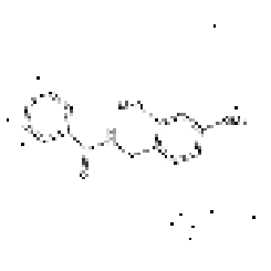 COc1ccc(CNC(=O)c2ccccc2)c(OC)c1